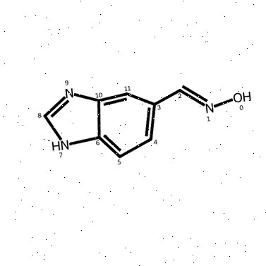 ON=Cc1ccc2[nH]cnc2c1